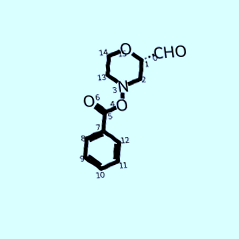 O=C[C@@H]1CN(OC(=O)c2ccccc2)CCO1